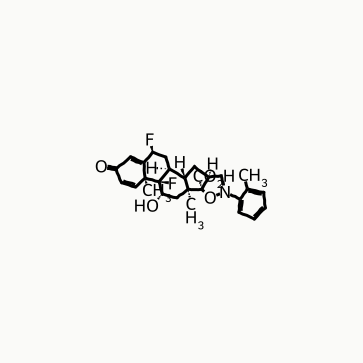 Cc1ccccc1N1C[C@@H]2C[C@H]3[C@@H]4C[C@H](F)C5=CC(=O)C=C[C@]5(C)[C@@]4(F)[C@@H](O)C[C@]3(C)[C@]2(C(=O)O)O1